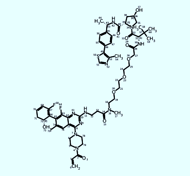 C=CC(=O)N1CCN(c2nc(NCCC(=O)N(C)CCOCCOCCOCC(=O)N[C@H](C(=O)N3C[C@H](O)C[C@H]3C(=O)N[C@@H](C)c3ccc(-c4scnc4C)cc3)C(C)(C)C)nc3c(F)c(C4=C(F)C=CC[C@H]4O)c(I)cc23)CC1